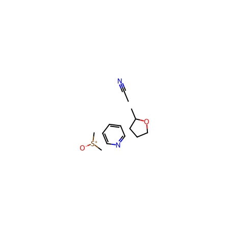 CC#N.CC1CCCO1.C[S+](C)[O-].c1ccncc1